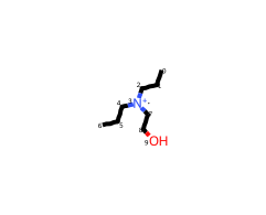 CCC[N+](CCC)CCO